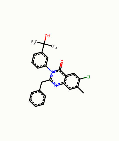 Cc1cc2nc(Cc3ccccc3)n(-c3cccc(C(O)(C(F)(F)F)C(F)(F)F)c3)c(=O)c2cc1Cl